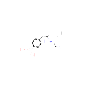 NCCNC(Cc1ccc(B(O)O)cc1)C(=O)O